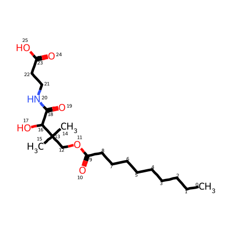 CCCCCCCCCC(=O)OCC(C)(C)C(O)C(=O)NCCC(=O)O